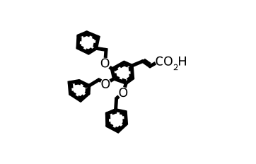 O=C(O)C=Cc1cc(OCc2ccccc2)c(OCc2ccccc2)c(OCc2ccccc2)c1